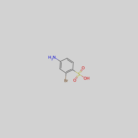 Nc1ccc(S(=O)(=O)O)c(Br)c1